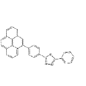 c1ccc(-c2nnc(-c3ccc(-c4cc5cccc6ccc7cccc4c7c65)cc3)o2)cc1